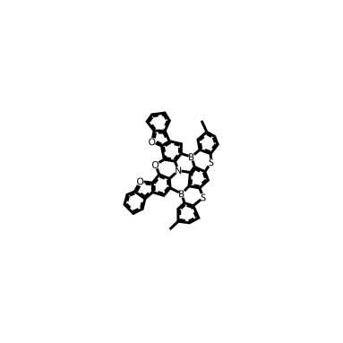 Cc1ccc2c(c1)B1c3cc4c(oc5ccccc54)c4c3N3c5c1c(cc1c5B(c5cc(C)ccc5S1)c1cc5c(oc6ccccc65)c(c13)O4)S2